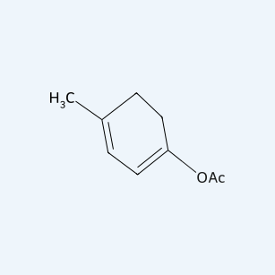 CC(=O)OC1=CC=C(C)CC1